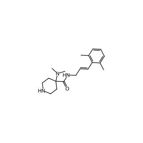 Cc1cccc(C)c1C=CCNC(=O)C1(N(C)C)CCNCC1